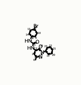 Cc1cc(NC(=O)Nc2ccc(Br)cc2)c(=O)n(-c2ccccc2)n1